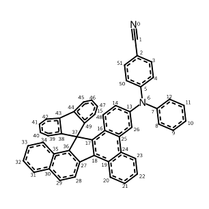 N#Cc1ccc(N(c2ccccc2)c2ccc3c4c(c5ccccc5c3c2)-c2ccc3ccccc3c2C42c3ccccc3-c3ccccc32)cc1